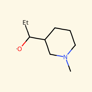 CCC([O])C1CCCN(C)C1